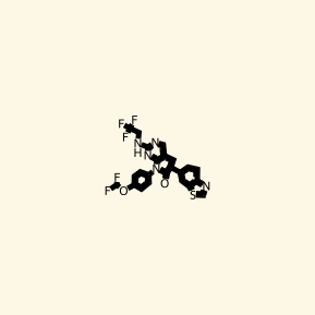 O=c1c(-c2ccc3ncsc3c2)cc2cnc(NCC(F)(F)F)nc2n1-c1ccc(OC(F)F)cc1